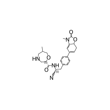 CC1CNC[C@@H](C(=O)N[C@H](C#N)Cc2ccc(C3=CCC4OC(=O)N(C)C4=C3)cc2)OC1